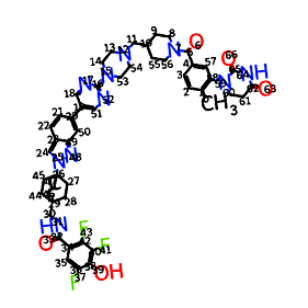 Cc1ccc(C(=O)N2CCC(CN3CCN(c4ncc(-c5ccc6cn([C@]78CC[C@](CNC(=O)c9cc(F)c(O)c(F)c9F)(CC7)CC8)nc6c5)cn4)CC3)CC2)cc1N1CCC(=O)NC1=O